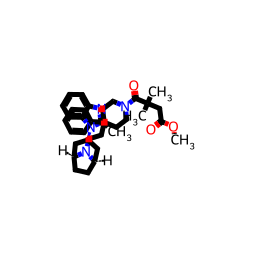 COC(=O)CC(C)(C)C(=O)N1CCC(CCN2[C@@H]3CC[C@H]2C[C@@H](n2c(C)nc4ccccc42)C3)(c2ccccc2)CC1